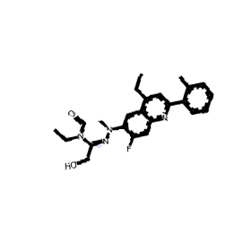 CCc1cc(-c2ccccc2C)nc2cc(F)c(N(C)/N=C(/CO)N(C=O)CC)cc12